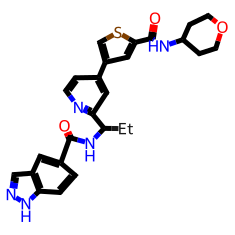 CCC(NC(=O)c1ccc2[nH]ncc2c1)c1cc(-c2csc(C(=O)NC3CCOCC3)c2)ccn1